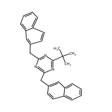 CC(C)(C)c1nc(Cc2ccc3ccccc3c2)nc(Cc2ccc3ccccc3c2)n1